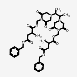 CC(C(C)N1CC(=O)N(COC(=O)C(N)CC(=O)OCc2ccccc2)C(=O)C1)N1CC(=O)N(COC(=O)C(N)CC(=O)OCc2ccccc2)C(=O)C1